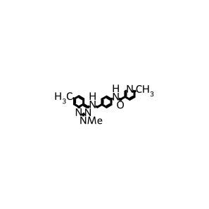 CNc1nc(NCc2ccc(NC(=O)c3ccc(C)nc3)cc2)c2ccc(C)cc2n1